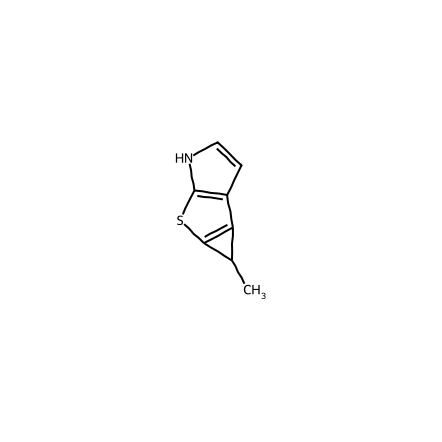 CC1c2sc3[nH]ccc3c21